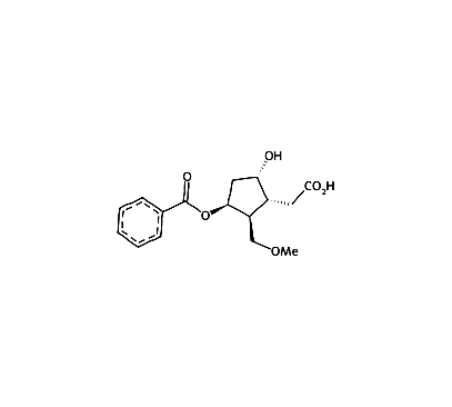 COC[C@@H]1[C@@H](CC(=O)O)[C@@H](O)C[C@@H]1OC(=O)c1ccccc1